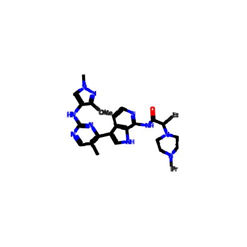 CCC(C(=O)Nc1nccc2c(-c3nc(Nc4cn(C)nc4OC)ncc3C)c[nH]c12)N1CCN(C(C)C)CC1